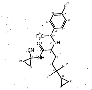 N#CC1(NC(=O)C(CCC(F)(F)C2CC2)N[C@@H](c2ccc(F)cc2)C(F)(F)F)CC1